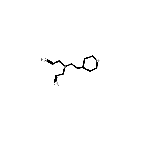 C=CCN(CC=C)CCC1CCNCC1